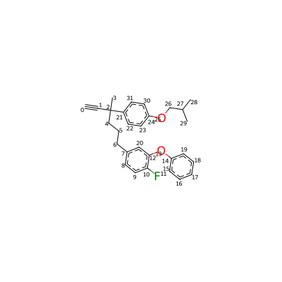 C#CC(C)(CCCc1ccc(F)c(Oc2ccccc2)c1)c1ccc(OCC(C)C)cc1